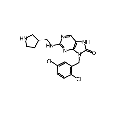 O=c1[nH]c2cnc(NC[C@@H]3CCNC3)nc2n1Cc1cc(Cl)ccc1Cl